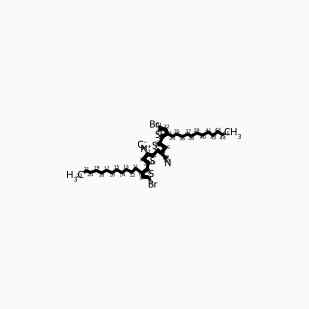 [C-]#[N+]c1cc(-c2sc(Br)cc2CCCCCCCCCCCC)sc1-c1sc(-c2sc(Br)cc2CCCCCCCCCCCC)cc1C#N